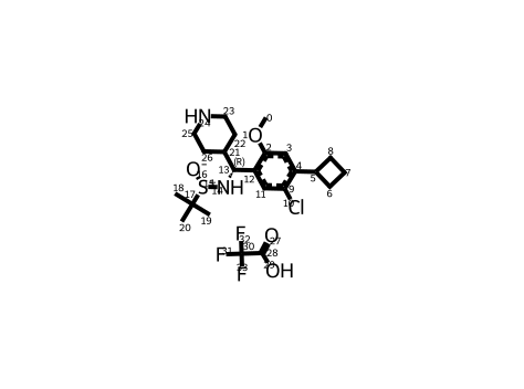 COc1cc(C2CCC2)c(Cl)cc1[C@H](N[S+]([O-])C(C)(C)C)C1CCNCC1.O=C(O)C(F)(F)F